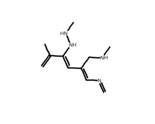 C=N/C=C(/C=C(\NNC)C(=C)C)CNC